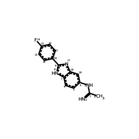 CC(=N)Nc1ccc2[nH]c(-c3ccc(F)cc3)nc2c1